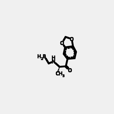 BCN[C@@H](C)C(=O)c1ccc2c(c1)OCO2